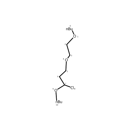 CCCCOCCOCCC(Cl)OCCCC